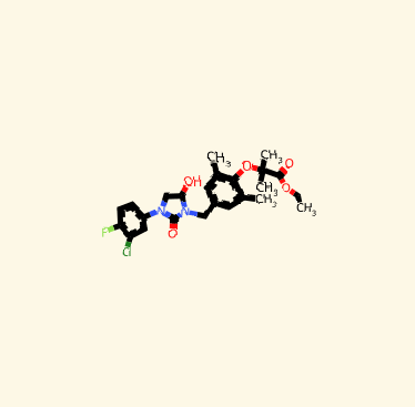 CCOC(=O)C(C)(C)Oc1c(C)cc(CN2C(=O)N(c3ccc(F)c(Cl)c3)CC2O)cc1C